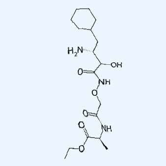 CCOC(=O)[C@H](C)NC(=O)CONC(=O)C(O)[C@H](N)CC1CCCCC1